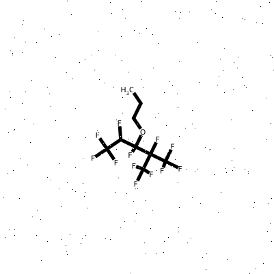 CCCOC(F)(C(F)C(F)(F)F)C(F)(C(F)(F)F)C(F)(F)F